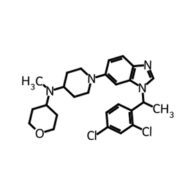 CC(c1ccc(Cl)cc1Cl)n1cnc2ccc(N3CCC(N(C)C4CCOCC4)CC3)cc21